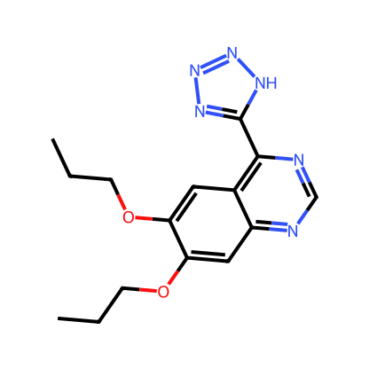 CCCOc1cc2ncnc(-c3nnn[nH]3)c2cc1OCCC